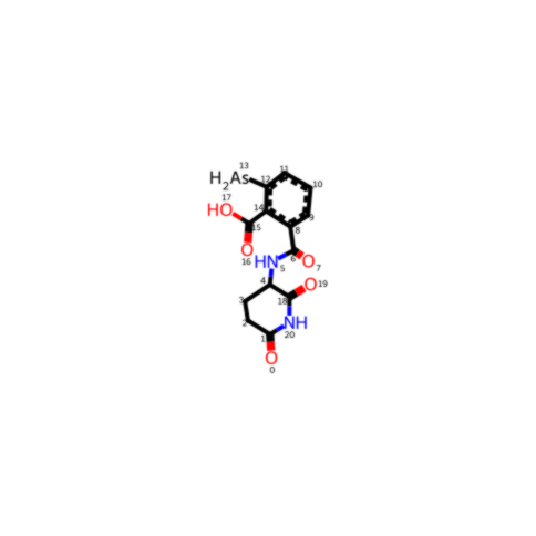 O=C1CCC(NC(=O)c2cccc([AsH2])c2C(=O)O)C(=O)N1